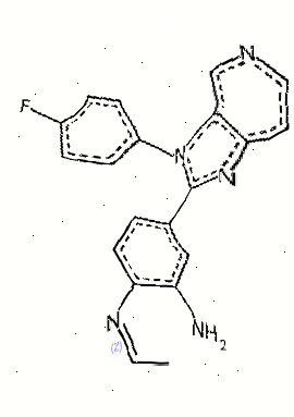 C/C=N\c1ccc(-c2nc3ccncc3n2-c2ccc(F)cc2)cc1N